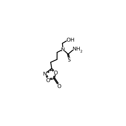 NC(=S)N(CO)CCCc1noc(=O)o1